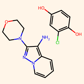 Nc1c(N2CCOCC2)nn2ccccc12.Oc1ccc(O)c(Cl)c1